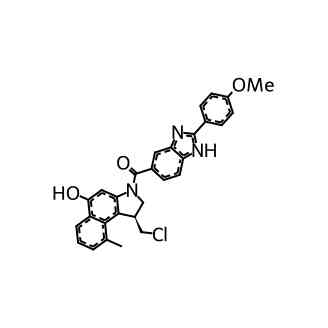 COc1ccc(-c2nc3cc(C(=O)N4C[C@@H](CCl)c5c4cc(O)c4cccc(C)c54)ccc3[nH]2)cc1